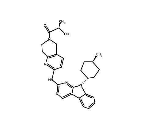 C[C@@H](O)C(=O)N1CCc2nc(Nc3ncc4c5ccccc5n([C@H]5CC[C@H](C)CC5)c4n3)ccc2C1